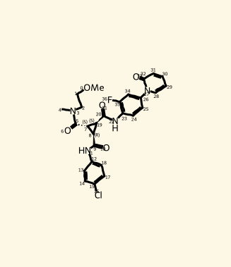 COCCN(C)C(=O)[C@H]1[C@H](C(=O)Nc2ccc(Cl)cc2)[C@@H]1C(=O)Nc1ccc(-n2ccccc2=O)cc1F